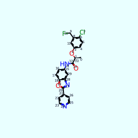 C[C@H](Oc1ccc(Cl)c(CF)c1)C(=O)Nc1ccc2oc(-c3ccncc3)nc2c1